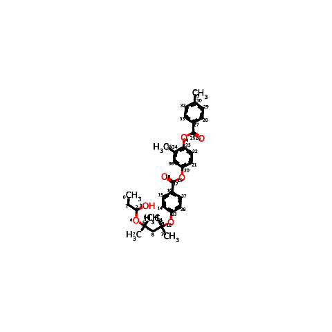 CCC(O)OC(C)(C)CC(C)(C)Oc1ccc(C(=O)Oc2ccc(OC(=O)c3ccc(C)cc3)c(C)c2)cc1